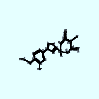 CCCOc1ccc(-c2csc([C@]3(C)CC(=O)N(C)C(=N)N3)c2)cc1Br